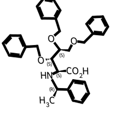 C[C@@H](N[C@H](C(=O)O)[C@H](OCc1ccccc1)[C@H](COCc1ccccc1)OCc1ccccc1)c1ccccc1